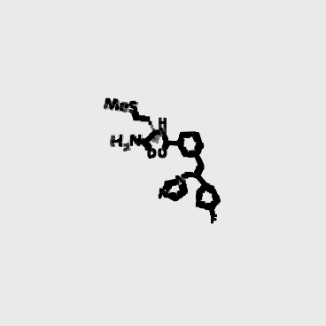 CSCC[C@H](NC(=O)c1cccc(C=C(Cn2ccnc2)c2ccc(F)cc2)c1)C(N)=O